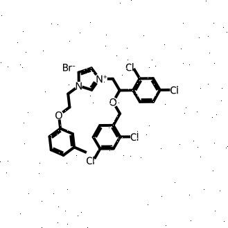 Cc1cccc(OCCn2cc[n+](CC(OCc3ccc(Cl)cc3Cl)c3ccc(Cl)cc3Cl)c2)c1.[Br-]